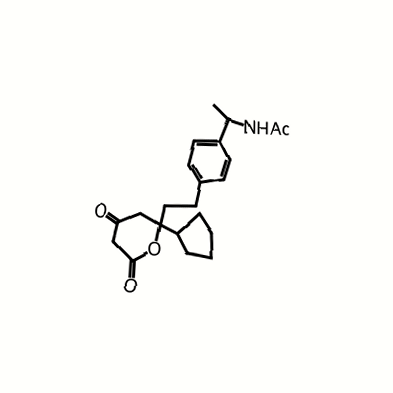 CC(=O)NC(C)c1ccc(CCC2(C3CCCC3)CC(=O)CC(=O)O2)cc1